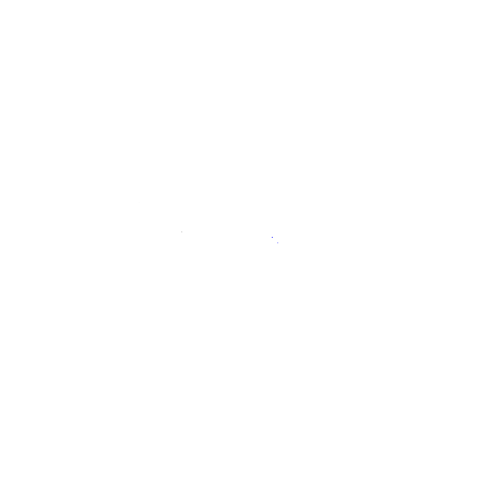 c1ccc2sc(CCC34CC5CC(CC(C5)C3)C4)nc2c1